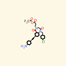 Nc1ccc(C#Cc2ccc3c(c2)C(=O)N(CCC(=O)OC(=O)C(F)(F)F)CC(=O)N3Cc2ccc(Cl)cc2)cc1